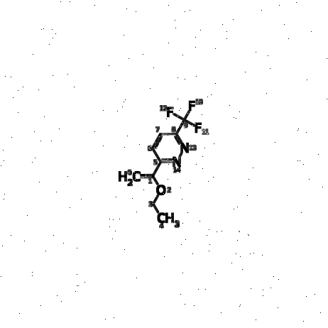 C=C(OCC)c1ccc(C(F)(F)F)nn1